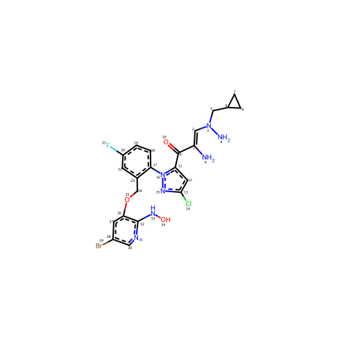 N/C(=C\N(N)CC1CC1)C(=O)c1cc(Cl)nn1-c1ccc(F)cc1COc1cc(Br)cnc1NO